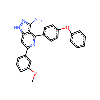 COc1cccc(-c2cc3[nH]nc(N)c3c(-c3ccc(Oc4ccccc4)cc3)n2)c1